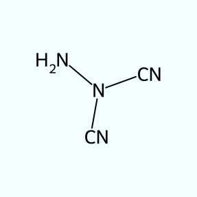 N#CN(N)C#N